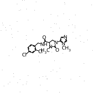 CN1C(=O)N(c2cncn2C)CC1C(=O)NCc1ccc(Cl)cc1Cl